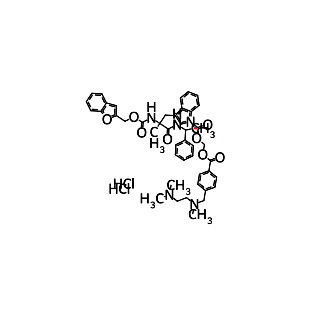 CC(NC(=O)C(C)(Cc1cn(C(=O)OCOC(=O)c2ccc(CN(C)CCN(C)C)cc2)c2ccccc12)NC(=O)OCc1cc2ccccc2o1)c1ccccc1.Cl.Cl